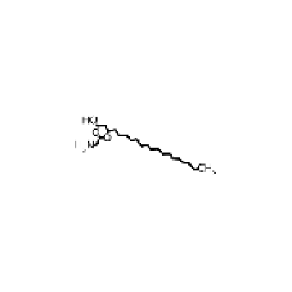 CCCCCCCCCCCCCCCCCC(CCO)OC(=O)CN